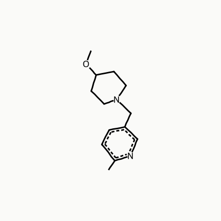 COC1CCN(Cc2ccc(C)nc2)CC1